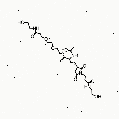 CC(=O)NC(CSC1CC(=O)N(CCC(=O)NCCO)C1=O)C(=O)NCCOCCOCCC(=O)NCCO